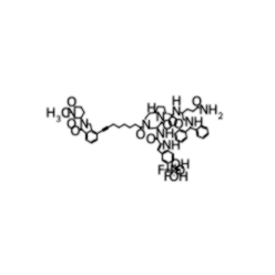 CN1C(=O)CCC(N2Cc3c(C#CCCCCCC(=O)N4CC[C@H]5CC[C@@H](C(=O)NC(CCC(N)=O)C(=O)NC(c6ccccc6)c6ccccc6)N5C(=O)[C@@H](NC(=O)c5cc6cc(C(F)(F)P(=O)(O)O)ccc6[nH]5)C4)cccc3C2=O)C1=O